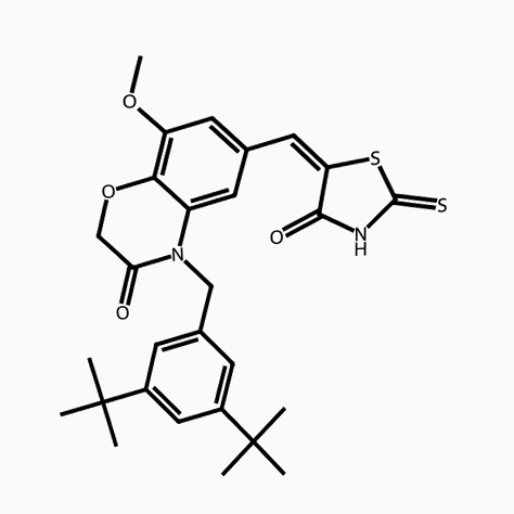 COc1cc(C=C2SC(=S)NC2=O)cc2c1OCC(=O)N2Cc1cc(C(C)(C)C)cc(C(C)(C)C)c1